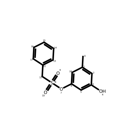 Cc1cc(O)cc(OS(=O)(=O)Cc2ccccc2)c1